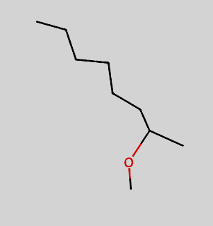 CCCCCCC(C)OC